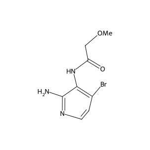 COCC(=O)Nc1c(Br)ccnc1N